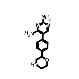 Nc1ncc(-c2ccc(C3CNCCO3)cc2)c(N)n1